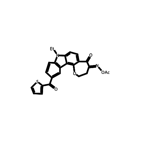 CCn1c2ccc(C(=O)c3cccs3)cc2c2c3c(ccc21)C(=O)/C(=N/OC(C)=O)CCO3